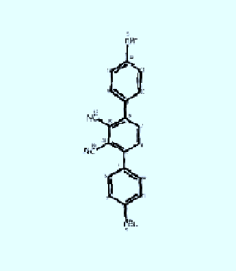 CCCCc1ccc(-c2ccc(-c3ccc(CCC)cc3)c(C#N)c2C#N)cc1